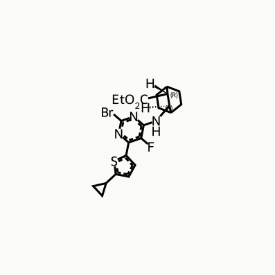 CCOC(=O)[C@@H]1C2CCC(CC2)[C@H]1Nc1nc(Br)nc(-c2ccc(C3CC3)s2)c1F